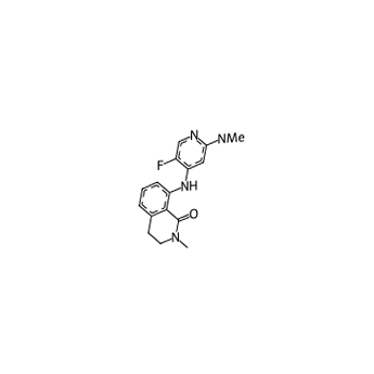 CNc1cc(Nc2cccc3c2C(=O)N(C)CC3)c(F)cn1